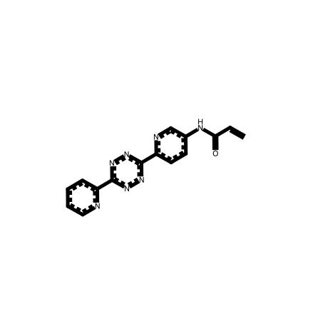 C=CC(=O)Nc1ccc(-c2nnc(-c3ccccn3)nn2)nc1